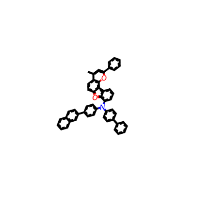 CC1=C=C(c2ccccc2)Oc2c1ccc1oc3c(N(c4ccc(-c5ccccc5)cc4)c4ccc(-c5ccc6ccccc6c5)cc4)cccc3c21